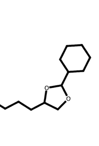 CCCCC1COC(C2CCCCC2)O1